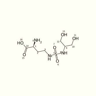 N[C@@H](CCNS(=O)(=O)NC(CO)CO)C(=O)O